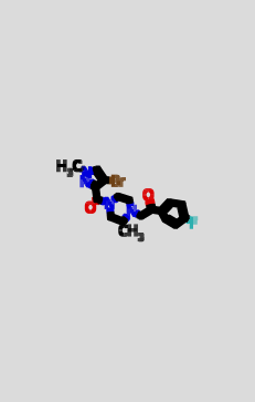 C[C@@H]1CN(C(=O)c2nn(C)cc2Br)CCN1CC(=O)c1ccc(F)cc1